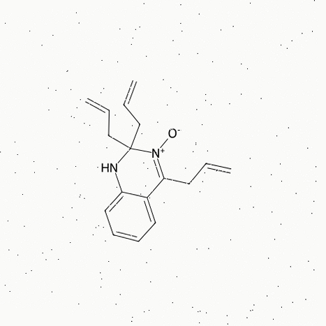 C=CCC1=[N+]([O-])C(CC=C)(CC=C)Nc2ccccc21